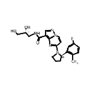 Cc1ccc(F)cc1[C@H]1CCCN1c1ccn2ncc(C(=O)NC[C@@H](O)CO)c2n1